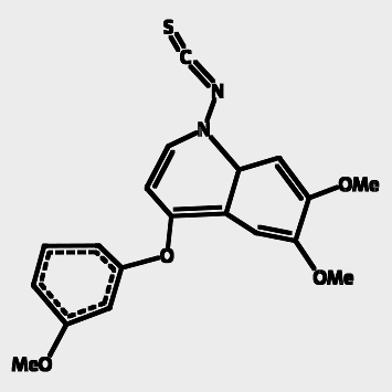 COC1=CC2=C(Oc3cccc(OC)c3)C=CN(N=C=S)C2C=C1OC